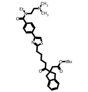 CCN(CCN(C)C)C(=O)c1ccc(-c2csc(CCCCC(=O)C3(CC(=O)OC(C)(C)C)Cc4ccccc4C3)n2)cc1